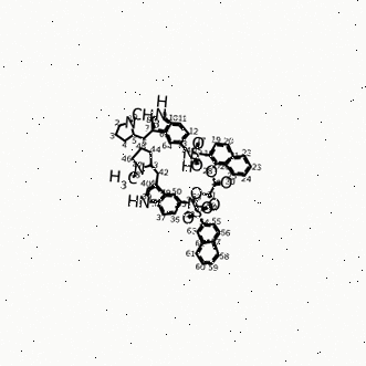 CN1CCCC1Cc1c[nH]c2ccc(NS(=O)(=O)c3ccc4ccccc4c3OC(=O)C(=O)ON(c3ccc4[nH]cc(CC5CCCN5C)c4c3)S(=O)(=O)c3ccc4ccccc4c3)cc12